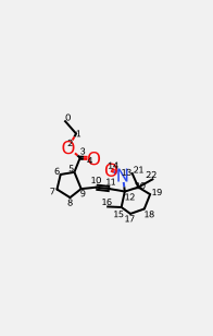 CCOC(=O)C1CCCC1C#CC1(N=O)C(C)CCCC1(C)C